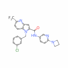 O=C(Nc1ccc(N2CCC2)nc1)c1cc2nc(C(F)(F)F)ccc2n1Cc1cccc(Cl)c1